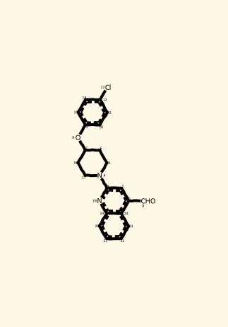 O=Cc1cc(N2CCC(Oc3ccc(Cl)cc3)CC2)nc2ccccc12